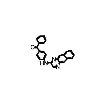 O=C(c1ccccc1)c1ccc(Nc2cnc3cc4ccccc4cc3n2)cc1